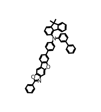 CC1(C)c2ccccc2-c2c(N(c3ccc(-c4ccc5c(c4)oc4cc6nc(-c7ccccc7)oc6cc45)cc3)c3cccc(-c4ccccc4)c3)cccc21